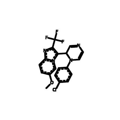 COc1ccc2nc(C(F)(F)F)c(C3C=NC=CN3c3ccc(Cl)cc3)n2c1